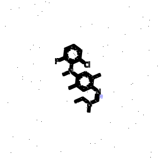 CCN(C)/C=N\c1cc(C)c(N(C)c2c(F)cccc2Cl)cc1C